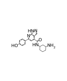 NC1CCCC(NC(=O)c2cc(-c3ccc(O)cc3)nc3[nH]ncc23)C1